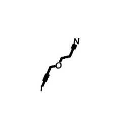 N#CCCOCC#CI